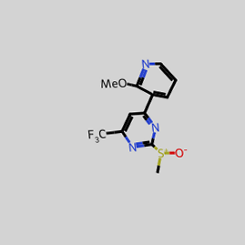 COc1ncccc1-c1cc(C(F)(F)F)nc([S+](C)[O-])n1